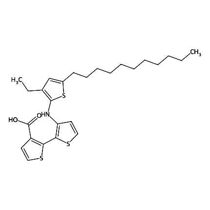 CCCCCCCCCCCc1cc(CC)c(Nc2ccsc2-c2sccc2C(=O)O)s1